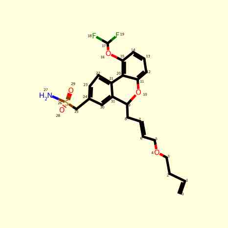 C=CCCOCC=CCC1Oc2cccc(OC(F)F)c2-c2ccc(CS(N)(=O)=O)cc21